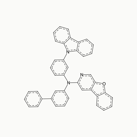 c1ccc(-c2cccc(N(c3cccc(-n4c5ccccc5c5ccccc54)c3)c3cc4c(cn3)oc3ccccc34)c2)cc1